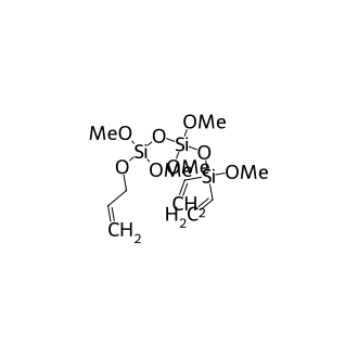 C=CCO[Si](OC)(OC)O[Si](OC)(OC)O[Si](C=C)(C=C)OC